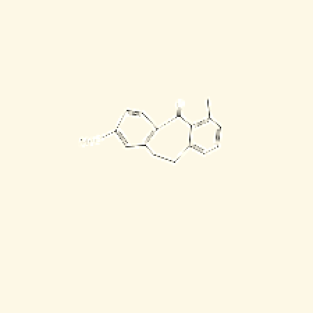 COc1ccc2c(c1)CCc1cccc(C)c1C2=O